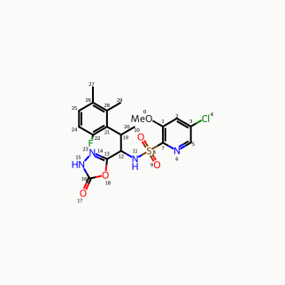 COc1cc(Cl)cnc1S(=O)(=O)NC(c1n[nH]c(=O)o1)C(C)c1c(F)ccc(C)c1C